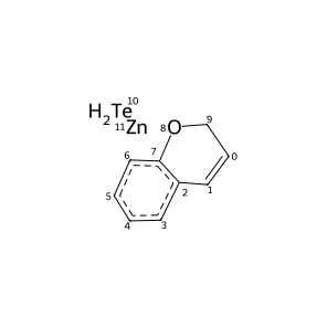 C1=Cc2ccccc2OC1.[TeH2].[Zn]